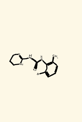 Cc1cccc(Br)c1NC(=O)NC1=NCCCN1